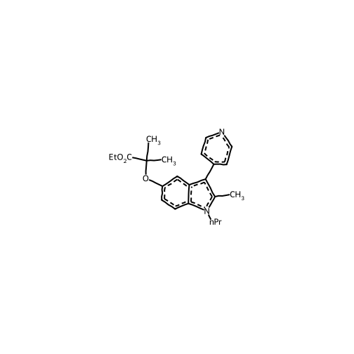 CCCn1c(C)c(-c2ccncc2)c2cc(OC(C)(C)C(=O)OCC)ccc21